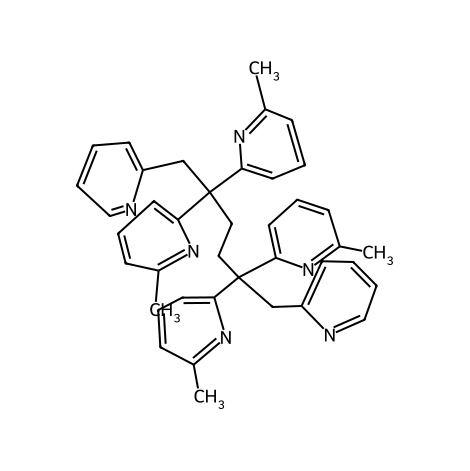 Cc1cccc(C(CCC(Cc2ccccn2)(c2cccc(C)n2)c2cccc(C)n2)(Cc2ccccn2)c2cccc(C)n2)n1